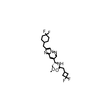 COC[C@@H](NC(=O)CC1CC(F)(F)C1)c1cnn2cc(CC3CCC(F)(F)CC3)nc2c1